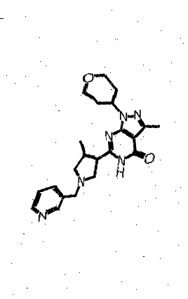 Cc1nn(C2CCOCC2)c2nc(C3CN(Cc4cccnc4)CC3C)[nH]c(=O)c12